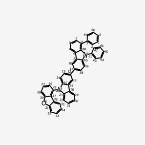 c1ccc(-c2cccc3c4cc(-c5ccc6c(c5)c5ccccc5n6-c5cccc6oc7ccccc7c56)ccc4n(-c4ccccc4)c23)cc1